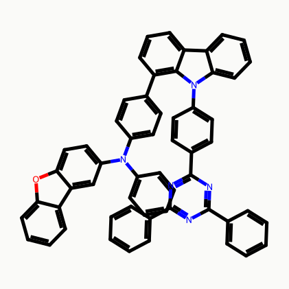 c1ccc(-c2nc(-c3ccccc3)nc(-c3ccc(-n4c5ccccc5c5cccc(-c6ccc(N(c7ccccc7)c7ccc8oc9ccccc9c8c7)cc6)c54)cc3)n2)cc1